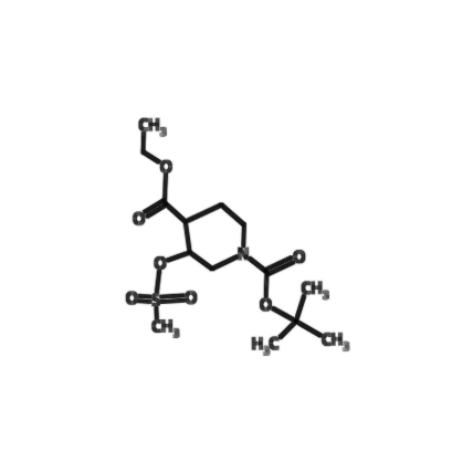 CCOC(=O)C1CCN(C(=O)OC(C)(C)C)CC1OS(C)(=O)=O